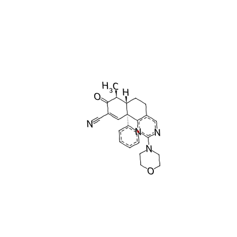 C[C@@H]1C(=O)C(C#N)=C[C@]2(c3ccccc3)c3nc(N4CCOCC4)ncc3CC[C@@H]12